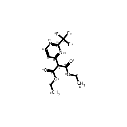 CCOC(=O)C(C(=O)OCC)c1ccnc(C(F)(F)F)n1